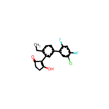 CCc1ccc(-c2cc(Cl)c(F)cc2F)cc1C1=C(O)CCC1=O